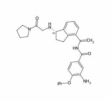 C=C(NC(=O)c1ccc(OC(C)C)c(N)c1)c1cccc2c1CC[C@@H]2NCC(=O)N1CCCC1